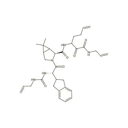 C=CCCC(NC(=O)[C@@H]1C2C(CN1C(=O)[C@@H](NC(=O)NCC=C)C1Cc3ccccc3C1)C2(C)C)C(=O)C(=O)NCC=C